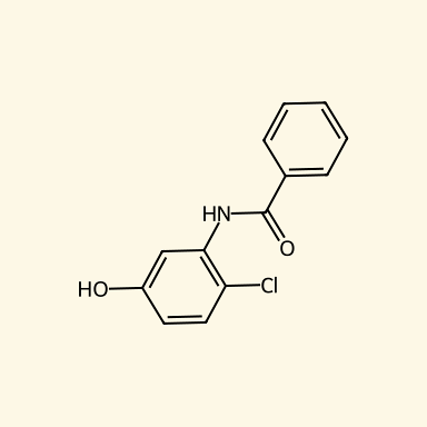 O=C(Nc1cc(O)ccc1Cl)c1ccccc1